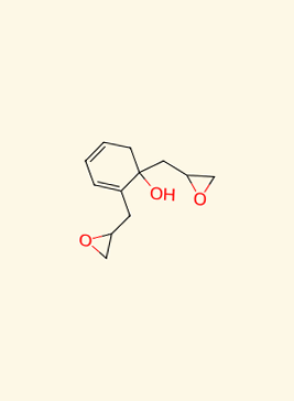 OC1(CC2CO2)CC=CC=C1CC1CO1